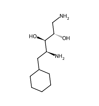 NC[C@H](O)[C@H](O)[C@@H](N)CC1CCCCC1